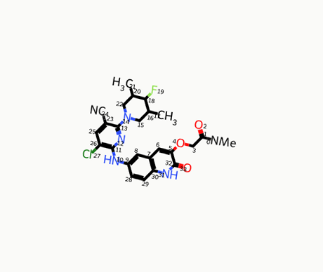 CNC(=O)COc1cc2cc(Nc3nc(N4CC(C)C(F)C(C)C4)c(C#N)cc3Cl)ccc2[nH]c1=O